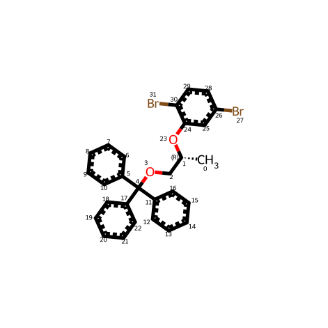 C[C@H](COC(c1ccccc1)(c1ccccc1)c1ccccc1)Oc1cc(Br)ccc1Br